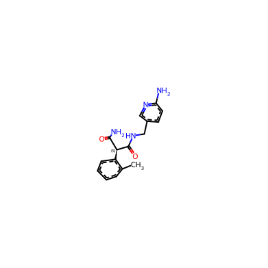 Cc1ccccc1[C@@H](C(N)=O)C(=O)NCc1ccc(N)nc1